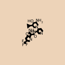 Nc1oc2cc(C(F)(F)F)cnc2c1C(=O)Nc1cnccc1N1CC(N)C(O)C(C2CC2)C1